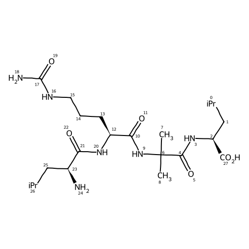 CC(C)C[C@H](NC(=O)C(C)(C)NC(=O)[C@H](CCCNC(N)=O)NC(=O)[C@@H](N)CC(C)C)C(=O)O